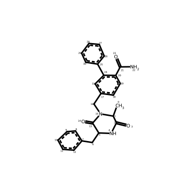 CC1C(=O)NC(Cc2ccccc2)C(=O)N1Cc1ccc(C(N)=O)c(-c2ccccc2)c1